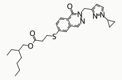 CCCCC(CC)COC(=O)CCSc1ccc2c(=O)n(Cc3ccn(C4CC4)n3)ncc2c1